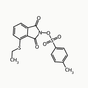 CCSc1cccc2c1C(=O)N(OS(=O)(=O)c1ccc(C)cc1)C2=O